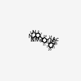 CNc1ncnc2ccc(-c3cccc(CN(C(C)=O)c4ccccc4F)c3)cc12